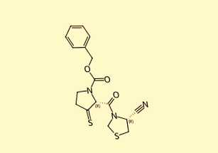 N#C[C@@H]1CSCN1C(=O)[C@@H]1C(=S)CCN1C(=O)OCc1ccccc1